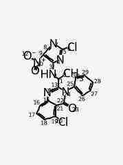 CC(Nc1nc(Cl)ncc1[N+](=O)[O-])c1nc2cccc(Cl)c2c(=O)n1-c1ccccc1